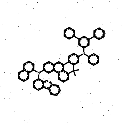 CC1(C)c2cc(N(c3ccccc3)c3cc(-c4ccccc4)cc(-c4ccccc4)c3)ccc2-c2cc3ccc(N(c4cccc5ccccc45)c4cccc5c4oc4ccccc45)cc3c3cccc1c23